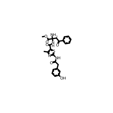 COC(=O)C(N)(CC(=O)c1ccccc1)NC(=O)c1sc(NC(=O)Cc2cccc(O)c2)nc1C